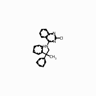 CC(CNc1nc(Cl)nc2ccccc12)(c1ccccc1)c1ccccc1